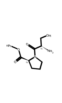 CCCOC(=O)[C@@H]1CCCN1C(=O)[C@@H](N)CO